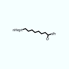 CCCCCCCCCCCCCCC([O])CCC